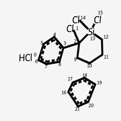 Cl.ClC1(c2ccccc2)CCCC[Si]1(Cl)Cl.c1ccccc1